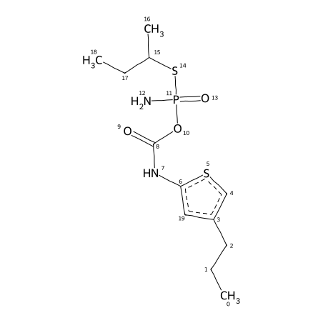 CCCc1csc(NC(=O)OP(N)(=O)SC(C)CC)c1